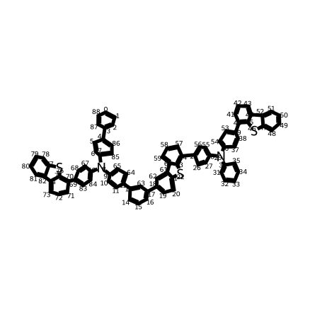 c1ccc(-c2ccc(N(c3ccc(-c4cccc(-c5ccc6sc7c(-c8ccc(N(c9ccccc9)c9ccc(-c%10cccc%11c%10sc%10ccccc%10%11)cc9)cc8)cccc7c6c5)c4)cc3)c3ccc(-c4cccc5c4sc4ccccc45)cc3)cc2)cc1